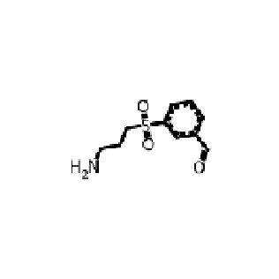 NCCCS(=O)(=O)c1cccc(C=O)c1